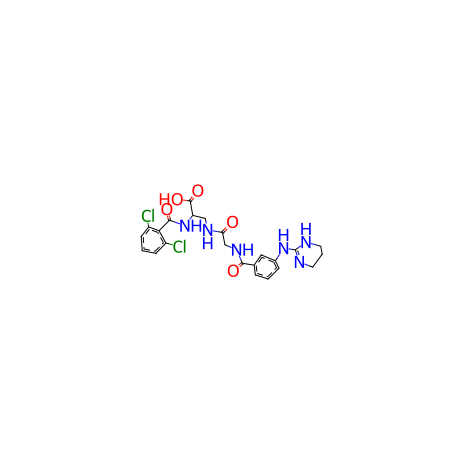 O=C(CNC(=O)c1cccc(NC2=NCCCN2)c1)NCC(NC(=O)c1c(Cl)cccc1Cl)C(=O)O